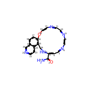 NC(=O)C1=CC=NC=CN=CC=NC=COc2ccc3cnccc3c2CN1